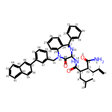 C=CC[C@H](C(N)=O)[C@@H](CC(C)C)C(=O)NC1N=C(c2ccccc2)c2ccccc2N(Cc2cccc(-c3ccc4ccccc4c3)c2)C1=O